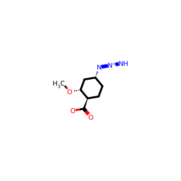 CO[C@@H]1C[C@H](N=[N+]=N)CC[C@H]1C(=O)[O-]